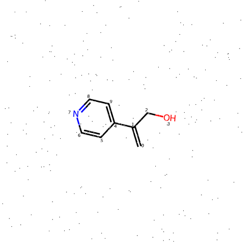 C=C(CO)c1ccncc1